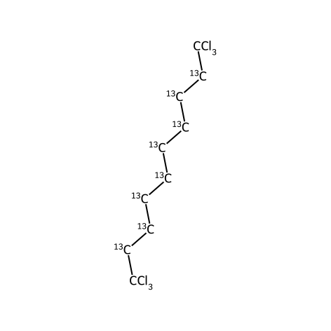 Cl[13C](Cl)(Cl)[13CH2][13CH2][13CH2][13CH2][13CH2][13CH2][13CH2][13CH2][13C](Cl)(Cl)Cl